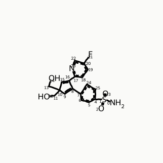 NS(=O)(=O)c1ccc(C2=CC(CO)(CO)C=C2c2ccc(F)cn2)cc1